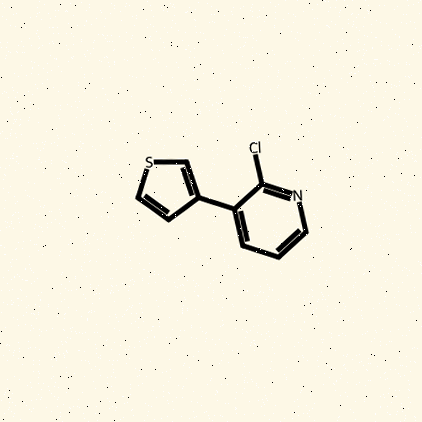 Clc1ncccc1-c1ccsc1